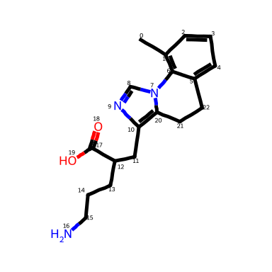 Cc1cccc2c1-n1cnc(CC(CCCN)C(=O)O)c1CC2